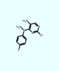 Nc1cnc(Cl)nc1N(N)c1ccc(F)cc1